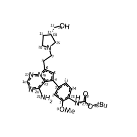 COc1cc(-c2cc(CCN3CC[C@H](CO)C3)n3ncnc(N)c23)ccc1NC(=O)OC(C)(C)C